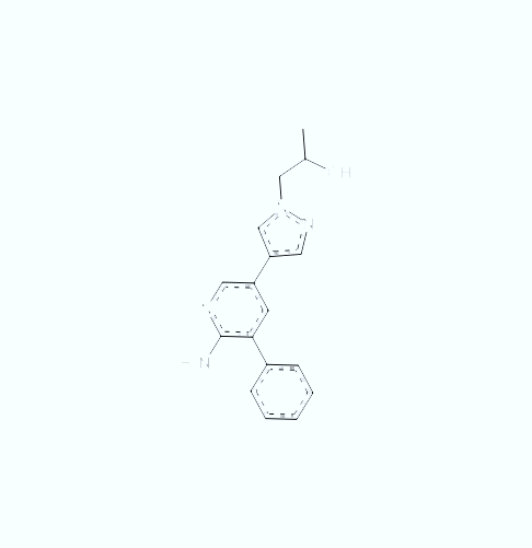 CC(O)Cn1cc(-c2cnc(N)c(-c3ccccc3)c2)cn1